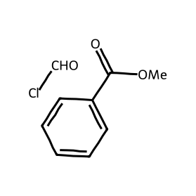 COC(=O)c1ccccc1.O=CCl